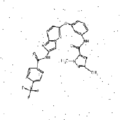 Cc1cc(C(=O)Nc2cccc(Oc3ccc4nc(NC(=O)c5ccc(C(F)(F)F)cc5)cn4n3)c2)n(C)n1